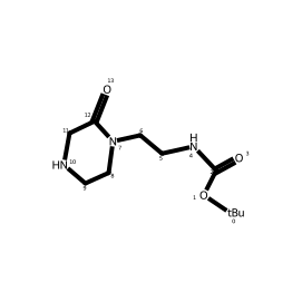 CC(C)(C)OC(=O)NCCN1CCNCC1=O